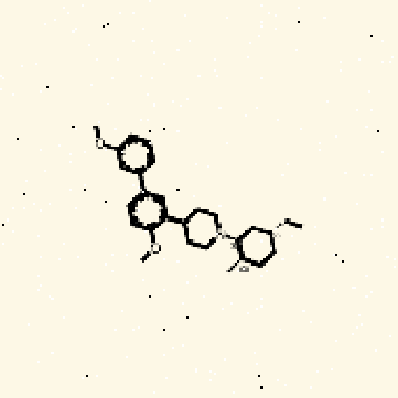 CC[C@@H]1CC[C@@H](C)[C@@H](N2CCC(c3cc(-c4cccc(OC)c4)ccc3OC)CC2)C1